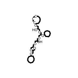 OC(COCC1COC(COC2CCCCCCCCC2)CO1)COCC(COCC(O)COC1CCCCCCCCCC1)OC1CCCCCCCC1